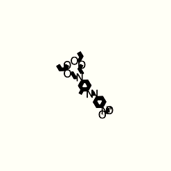 C=CC(=O)OCCN(CCOC(=O)C=C)c1ccc(/N=N/c2ccc([N+](=O)[O-])cc2)c(C)c1